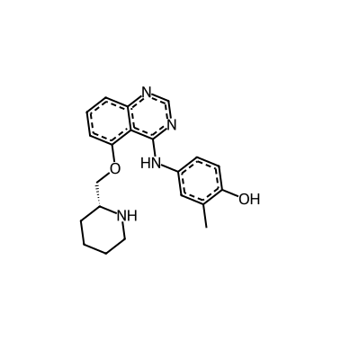 Cc1cc(Nc2ncnc3cccc(OC[C@H]4CCCCN4)c23)ccc1O